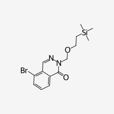 C[Si](C)(C)CCOCn1ncc2c(Br)cccc2c1=O